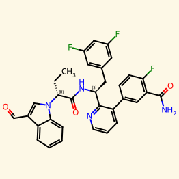 CC[C@H](C(=O)N[C@@H](Cc1cc(F)cc(F)c1)c1ncccc1-c1ccc(F)c(C(N)=O)c1)n1cc(C=O)c2ccccc21